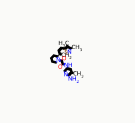 C=C(/C=C\c1snc(C)c1C)[C@@H]1CCCCN1C(=O)C(=O)Nc1cnc(N)c(C)c1